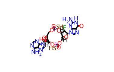 Nc1nc2c(ncn2[C@@H]2O[C@@H]3CO[P@@](=O)(S)O[C@@H]4[C@H](O)C(CO[P@](=O)(S)O[C@H]3[C@H]2F)O[C@H]4n2cnc3c(N)ncnc32)c(=O)[nH]1